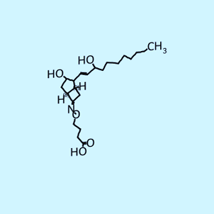 CCCCCCCCC(O)C=CC1C(O)C[C@@H]2C(=NOCCCC(=O)O)C[C@@H]12